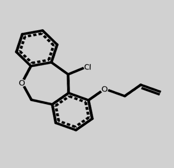 C=CCOc1cccc2c1C(Cl)c1ccccc1OC2